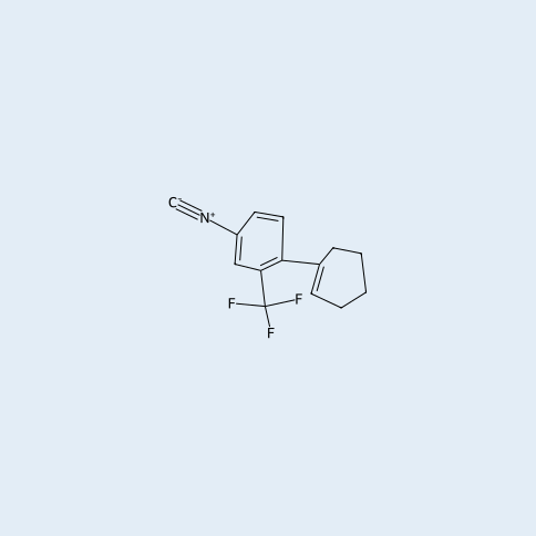 [C-]#[N+]c1ccc(C2=CCCCC2)c(C(F)(F)F)c1